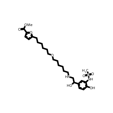 COC(=O)c1ccc(CCCCCCOCCCCCCNCC(O)c2ccc(O)c(NS(C)(=O)=O)c2)o1